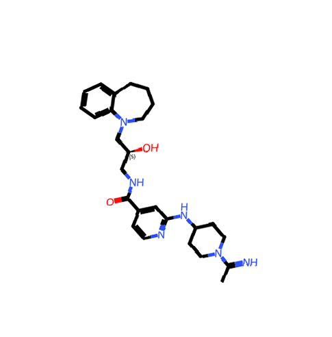 CC(=N)N1CCC(Nc2cc(C(=O)NC[C@H](O)CN3CCCCc4ccccc43)ccn2)CC1